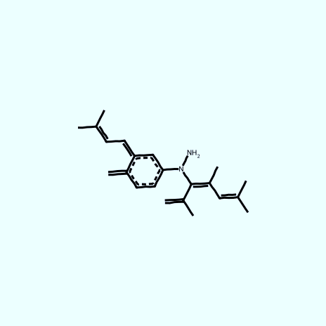 C=C(C)/C(=C(/C)C=C(C)C)N(N)c1ccc(=C)/c(=C\C=C(C)C)c1